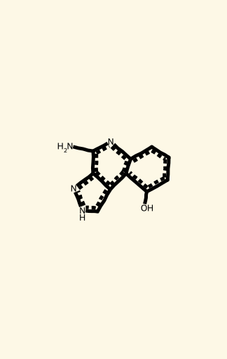 Nc1nc2cccc(O)c2c2c[nH]nc12